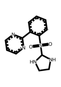 O=S(=O)(c1[c]cccc1-c1ncccn1)C1NCCN1